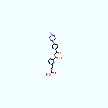 CN1CCN(c2ccc(C(=O)CC(O)c3cccc(/C=C/C(=O)O)n3)cc2)CC1